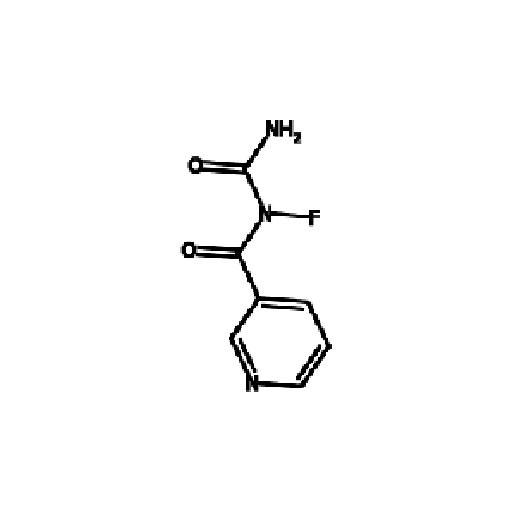 NC(=O)N(F)C(=O)c1cccnc1